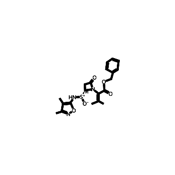 CC(C)=C(C(=O)OCc1ccccc1)N1C(=O)C[C@H]1[S+]([O-])Nc1onc(C)c1C